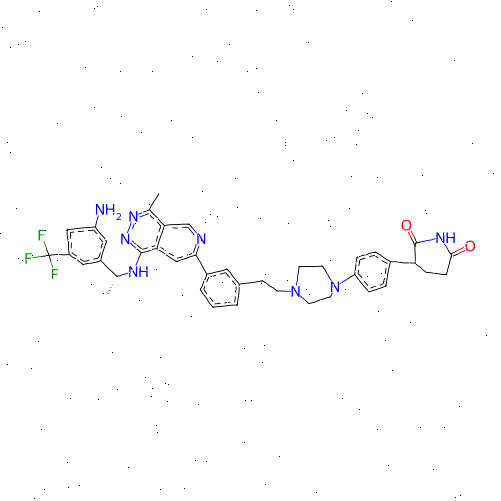 Cc1nnc(N[C@H](C)c2cc(N)cc(C(F)(F)F)c2)c2cc(-c3cccc(CCN4CCN(c5ccc(C6CCC(=O)NC6=O)cc5)CC4)c3)ncc12